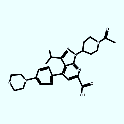 CC(=O)N1CCC(n2nc(C(C)C)c3c(-c4ccc(N5CCOCC5)cc4)cc(C(=O)O)nc32)CC1